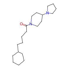 O=C(CCCCC1CCCCC1)N1CCC(N2CCCC2)CC1